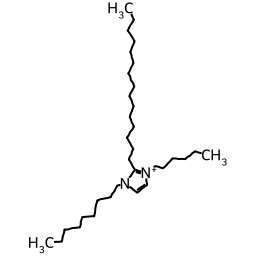 CCCCCCCCCCCCCCCc1n(CCCCCCCCC)cc[n+]1CCCCCC